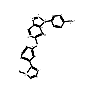 COc1ccc(-n2nnc3cnc(Nc4cccc(-c5nccn5C)c4)nc32)cc1